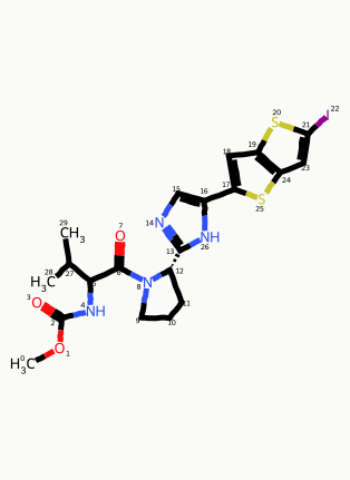 COC(=O)NC(C(=O)N1CCC[C@H]1c1ncc(-c2cc3sc(I)cc3s2)[nH]1)C(C)C